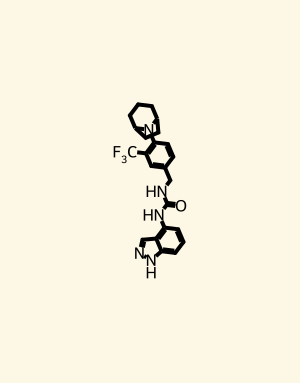 O=C(NCc1ccc(N2C3CCCC2CC3)c(C(F)(F)F)c1)Nc1cccc2[nH]ncc12